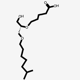 CC(C)CCCCCOC[C@H](CO)OCCCCC(=O)O